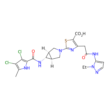 CCn1nccc1NC(=O)Cc1nc(N2C[C@@H]3[C@H](C2)[C@H]3NC(=O)c2[nH]c(C)c(Cl)c2Cl)sc1C(=O)O